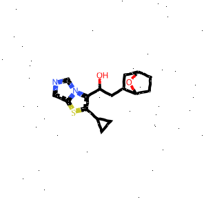 OC(CC1CC2CCC1O2)c1c(C2CC2)sc2cncn12